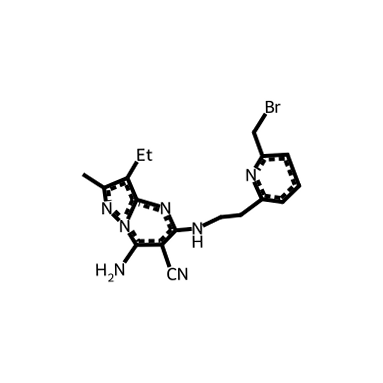 CCc1c(C)nn2c(N)c(C#N)c(NCCc3cccc(CBr)n3)nc12